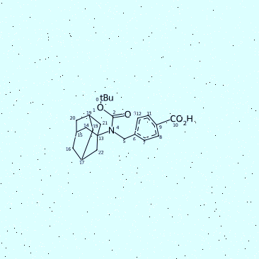 CC(C)(C)OC(=O)N(Cc1ccc(C(=O)O)cc1)C12CC3CC(CC(C3)C1)C2